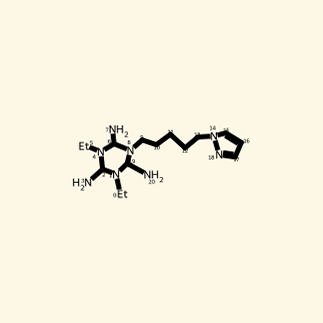 CCN1C(N)N(CC)C(N)N(CCCCCn2cccn2)C1N